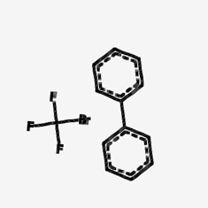 FC(F)(F)Br.c1ccc(-c2ccccc2)cc1